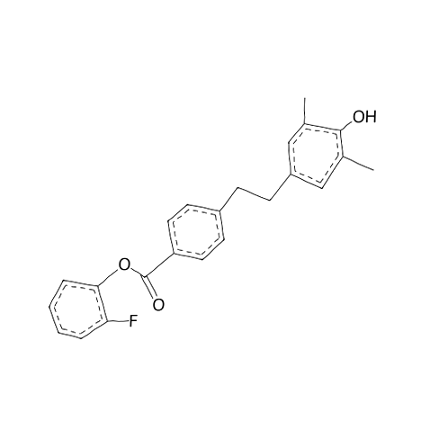 Cc1cc(CCc2ccc(C(=O)Oc3ccccc3F)cc2)cc(C)c1O